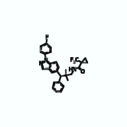 CC(C)(CNC(=O)C1(C(F)(F)F)CC1)[C@@H](c1ccccc1)c1ccc2c(cnn2-c2ccc(F)cc2)c1